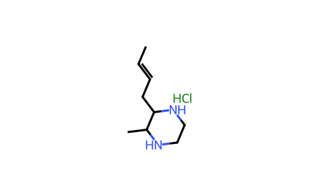 CC=CCC1NCCNC1C.Cl